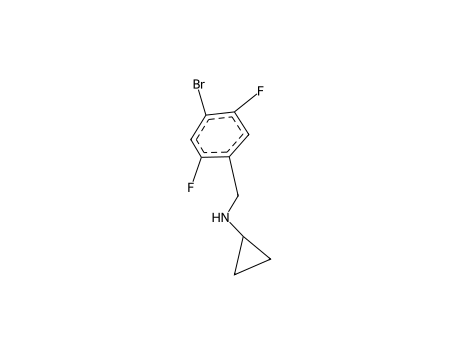 Fc1cc(CNC2CC2)c(F)cc1Br